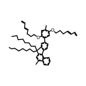 C=C/C=C/CCCOc1cc(-c2ccc3c(c2)C(CCCCCCCC)(CCCCCCCC)c2cc(C)c4ccccc4c2-3)c(OCCC/C=C/C=C)cc1C